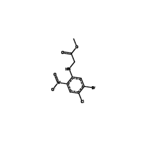 COC(=O)CNc1cc(Br)c(Cl)cc1[N+](=O)[O-]